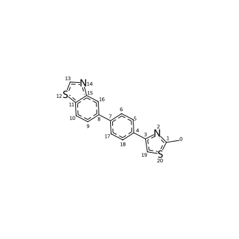 Cc1nc(-c2ccc(-c3ccc4scnc4c3)cc2)cs1